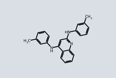 Cc1cccc(Nc2cc(Nc3cccc(C)c3)c3ccccc3n2)c1